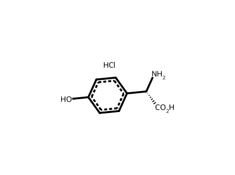 Cl.N[C@H](C(=O)O)c1ccc(O)cc1